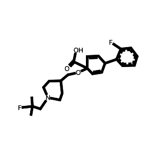 CC(C)(F)CN1CCC(COC2(C(=O)O)C=CC(c3ccccc3F)C=C2)CC1